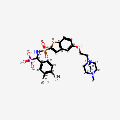 C[N+]12CC[N+](CCOc3ccc4sc(S(=O)(=O)NC(c5ccc(C#N)c(C(F)(F)F)c5)P(=O)([O-])[O-])cc4c3)(CC1)CC2